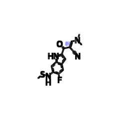 CSNc1cc2[nH]c(C(=O)/C(C#N)=C/N(C)C)cc2cc1F